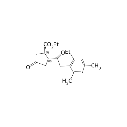 CCOC(=O)[C@@H]1CC(=O)C[C@H]1C(=O)Cc1c(C)cc(C)cc1CC